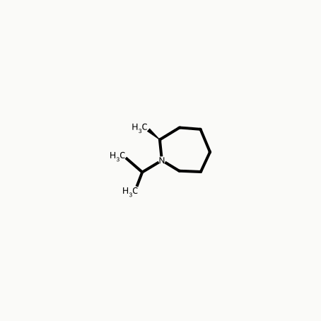 CC(C)N1CCCCC[C@@H]1C